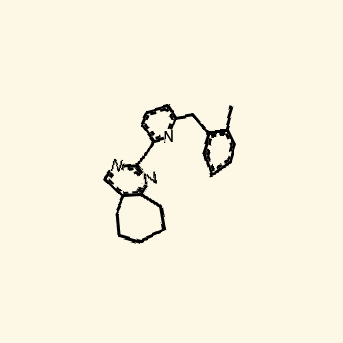 Cc1ccccc1Cc1cccc(-c2ncc3c(n2)CCCCC3)n1